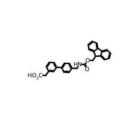 O=C(O)Cc1cccc(-c2ccc(CNC(=O)OCC3c4ccccc4-c4ccccc43)cc2)c1